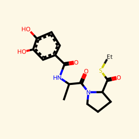 CCSC(=O)C1CCCN1C(=O)C(C)NC(=O)c1ccc(O)c(O)c1